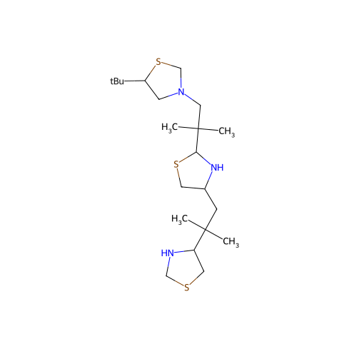 CC(C)(C)C1CN(CC(C)(C)C2NC(CC(C)(C)C3CSCN3)CS2)CS1